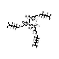 C[N+](C)(CC[N+](C)(CC[N+](C)(C)CC(O)COCC(F)(F)C(F)(F)C(F)(F)C(F)F)CC(O)COCC(F)(F)C(F)(F)C(F)(F)C(F)F)CC(O)COCC(F)(F)C(F)(F)C(F)(F)C(F)F